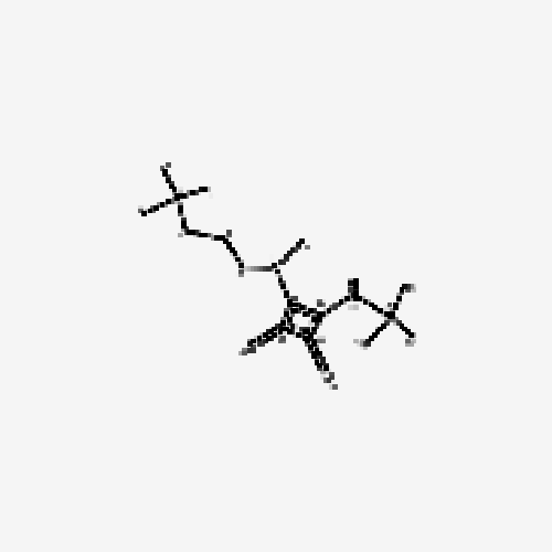 CN(CCCC(C)(C)C)c1c(NC(C)(C)C)c(=O)c1=S